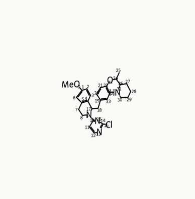 COc1ccc2c(c1)CCN(c1ccnc(Cl)n1)C2Cc1ccc(OC(C)C2CCCCN2)cc1